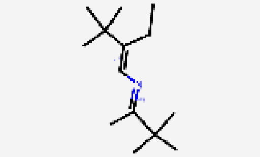 CC/C(=C\N=C(/C)C(C)(C)C)C(C)(C)C